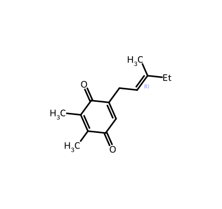 CC/C(C)=C/CC1=CC(=O)C(C)=C(C)C1=O